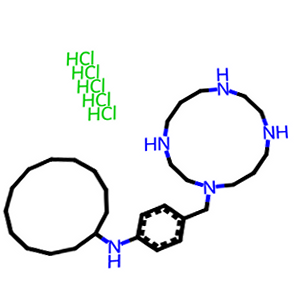 Cl.Cl.Cl.Cl.Cl.c1cc(NC2CCCCCCCCCCCC2)ccc1CN1CCCNCCNCCCNCC1